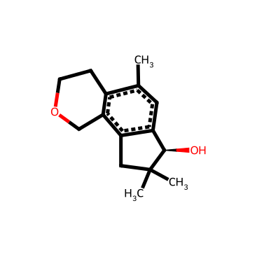 Cc1cc2c(c3c1CCOC3)CC(C)(C)[C@@H]2O